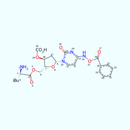 CC[C@@H](C)[C@@H](N)C(=O)OC[C@H]1O[C@@H](n2ccc(NOC(=O)c3ccccc3)nc2=O)C[C@@H]1OC(=O)O